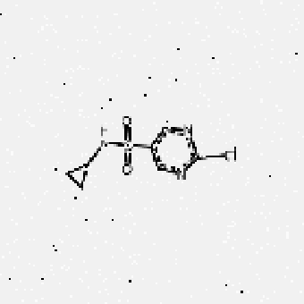 O=S(=O)(NC1CC1)c1cnc(Cl)nc1